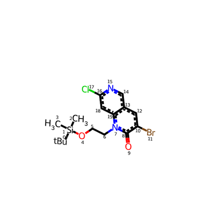 CC(C)(C)[Si](C)(C)OCCn1c(=O)c(Br)cc2cnc(Cl)cc21